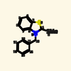 CSC1Sc2ccccc2N1Cc1ccccc1